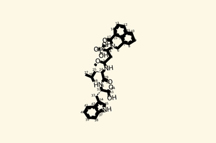 COC(CC(N1Cc2cccc3cccc(c23)C1=O)P(=O)(O)O)N[C@@H](CC(C)C)C(=O)N[C@@H](Cc1c[nH]c2ccccc12)C(=O)O